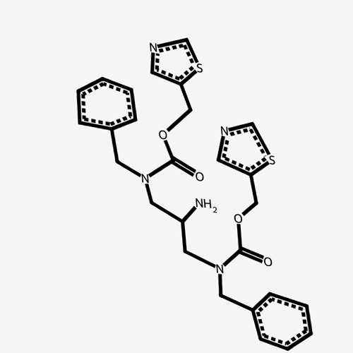 NC(CN(Cc1ccccc1)C(=O)OCc1cncs1)CN(Cc1ccccc1)C(=O)OCc1cncs1